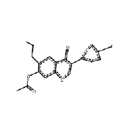 CCCc1cc2c(=O)c(-c3ccc(F)cc3)coc2cc1OC(C)=O